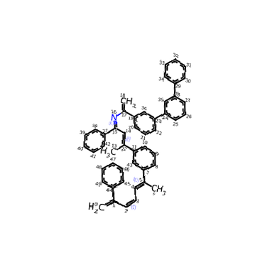 C=C(/C=C\C=C(/C)c1cccc(/C(C)=C/C(=N\C(=C)c2cccc(-c3cccc(-c4ccccc4)c3)c2)c2ccccc2)c1)c1ccccc1